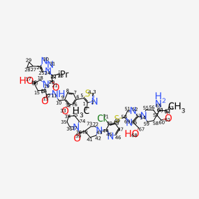 Cc1ncsc1-c1ccc(CNC(=O)[C@@H]2C[C@@H](O)CN2C(=O)[C@H](C(C)C)n2cc(C3CC3)nn2)c(OC2CCN(C(=O)C3CCN(c4nccc(Sc5cnc(N6CCC7(CC6)CO[C@@H](C)[C@H]7N)c(CO)n5)c4Cl)CC3)CC2)c1